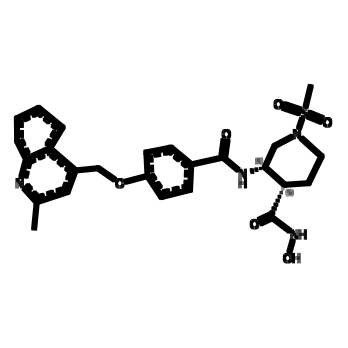 Cc1cc(COc2ccc(C(=O)N[C@@H]3CN(S(C)(=O)=O)CC[C@@H]3C(=O)NO)cc2)c2ccccc2n1